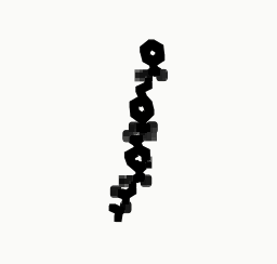 CC(C)OC(=O)CNC(=O)c1ccc(C(=O)NS(=O)(=O)c2ccc(CCNC(=O)c3ccccc3)cc2)cn1